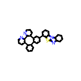 c1ccc2c(c1)-c1ccc(-c3cccc4c3sc3nc5ccccc5n34)cc1-c1cccnc1-c1ncccc1-2